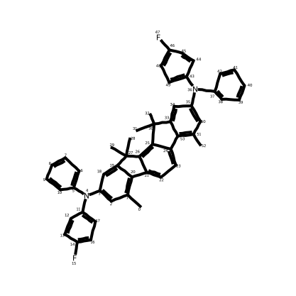 Cc1cc(N(c2ccccc2)c2ccc(F)cc2)cc2c1-c1ccc3c(c1C2(C)C)C(C)(C)c1cc(N(c2ccccc2)c2ccc(F)cc2)cc(C)c1-3